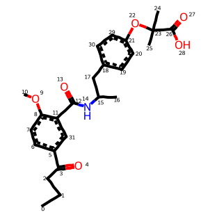 CCCC(=O)c1ccc(OC)c(C(=O)NC(C)Cc2ccc(OC(C)(C)C(=O)O)cc2)c1